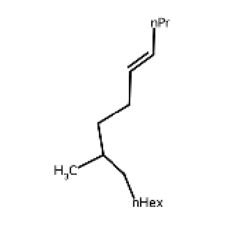 [CH2]CC/C=C/CCC(C)CCCCCC[CH2]